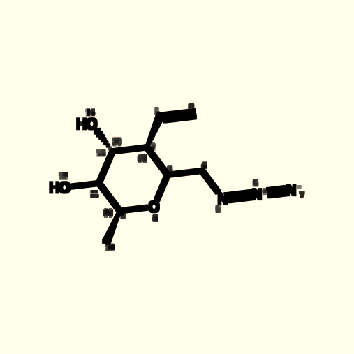 C=C[C@H]1C(CN=[N+]=[N-])O[C@@H](C)C(O)[C@@H]1O